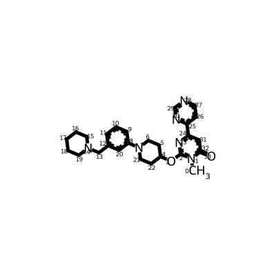 Cn1c(OC2CCN(c3cccc(CN4CCCCC4)c3)CC2)nc(-c2ccncn2)cc1=O